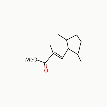 COC(=O)C(C)=CC1C(C)CCC1C